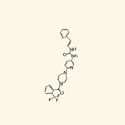 O=C(NC=Cc1ccccc1)Nc1ccc(N2CCN(C(=O)c3ccccc3C(F)(F)F)CC2)nc1